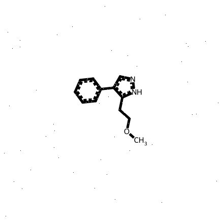 COCCc1[nH]ncc1-c1ccccc1